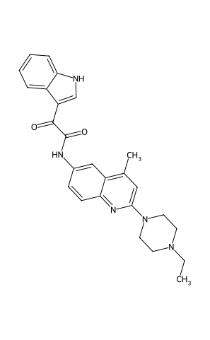 CCN1CCN(c2cc(C)c3cc(NC(=O)C(=O)c4c[nH]c5ccccc45)ccc3n2)CC1